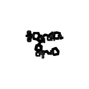 CN1CCN(CC(O)Cn2nc(-c3ccc(C(F)(F)F)c(SCCN4CCCCC4)c3)c3c2CCN(S(C)(=O)=O)C3)CC1